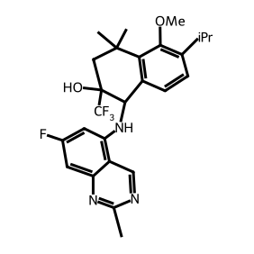 COc1c(C(C)C)ccc2c1C(C)(C)CC(O)(C(F)(F)F)C2Nc1cc(F)cc2nc(C)ncc12